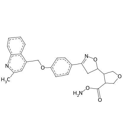 Cc1cc(COc2ccc(C3=NOC(C4COCC4C(=O)ON)C3)cc2)c2ccccc2n1